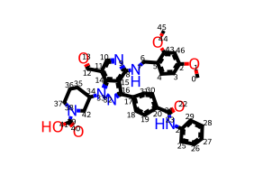 COc1ccc(CNc2ncc(C=O)c3c2c(-c2ccc(C(=O)Nc4ccccc4)cc2)nn3C2CCCN(C(=O)O)C2)c(OC)c1